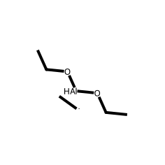 CC[O][AlH][O]CC.[CH2]C